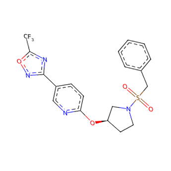 O=S(=O)(Cc1ccccc1)N1CC[C@@H](Oc2ccc(-c3noc(C(F)(F)F)n3)cn2)C1